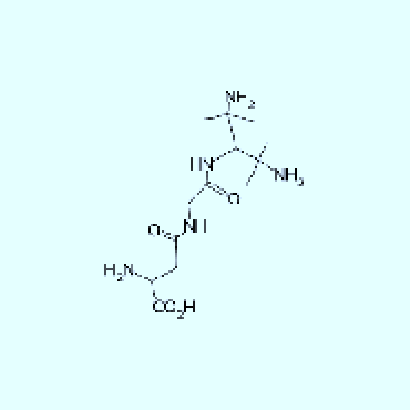 CC(C)(N)C(NC(=O)CNC(=O)CC(N)C(=O)O)C(C)(C)N